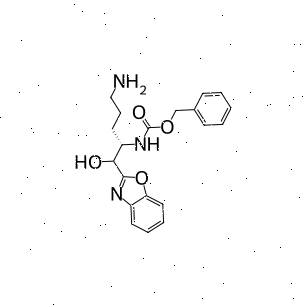 NCCC[C@H](NC(=O)OCc1ccccc1)C(O)c1nc2ccccc2o1